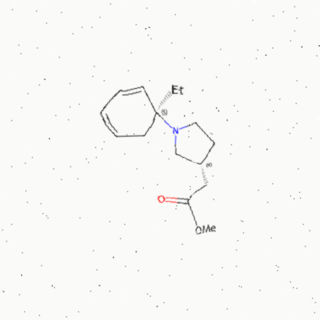 CC[C@@]1(N2CC[C@H](CC(=O)OC)C2)C=CC=CC1